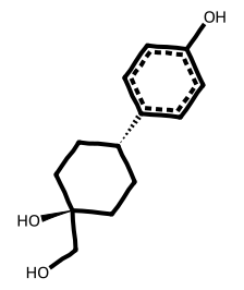 OC[C@]1(O)CC[C@H](c2ccc(O)cc2)CC1